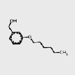 CCCCCCOc1cccc([CH]O)c1